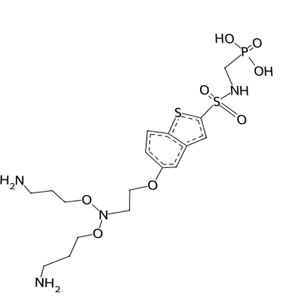 NCCCON(CCOc1ccc2sc(S(=O)(=O)NCP(=O)(O)O)cc2c1)OCCCN